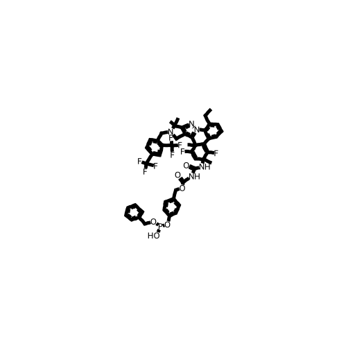 CCc1cccc2c1-n1nc3c(c1C1(C)C(F)=CC(C)(NC(=O)NC(=O)OCc4ccc(OP(O)OCc5ccccc5)cc4)C(F)=C21)CN(Cc1ccc(C(F)(F)F)cc1C(F)(F)F)C3(C)C